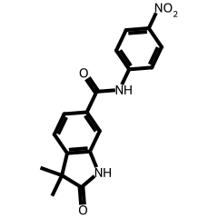 CC1(C)C(=O)Nc2cc(C(=O)Nc3ccc([N+](=O)[O-])cc3)ccc21